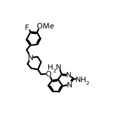 COc1ccc(CN2CCC(COc3cccc4nc(N)nc(N)c34)CC2)cc1F